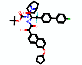 CC(C)(C)OC(=O)NC1CC2CCC(C1)N2C(=O)C(NC(=O)C(O)c1ccc2cc(OC3CCCC3)ccc2c1)C(F)(F)c1ccc(-c2ccc(Cl)cc2)cc1